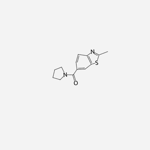 Cc1nc2ccc(C(=O)N3CCCC3)cc2s1